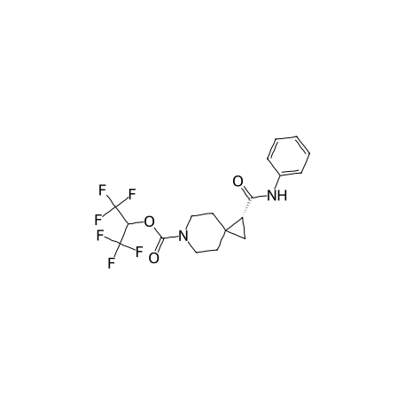 O=C(Nc1ccccc1)[C@@H]1CC12CCN(C(=O)OC(C(F)(F)F)C(F)(F)F)CC2